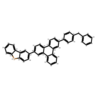 c1ccc(Cc2ccc(-c3ccc4c5ccc(-c6ccc7sc8ccccc8c7c6)cc5c5ccccc5c4c3)cc2)cc1